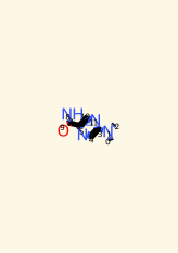 CN(C)c1cnc(C(N)=O)cn1